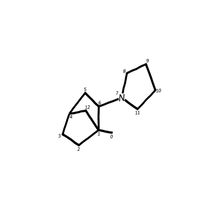 CC12CCC(CC1N1CCCC1)C2